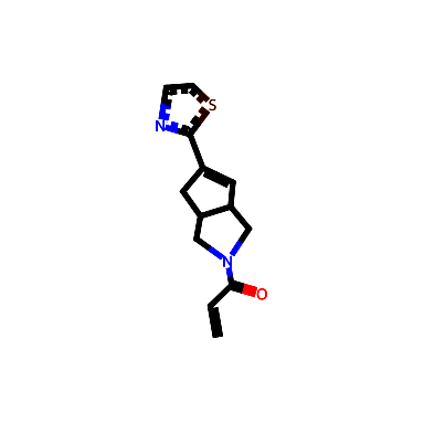 C=CC(=O)N1CC2C=C(c3nccs3)CC2C1